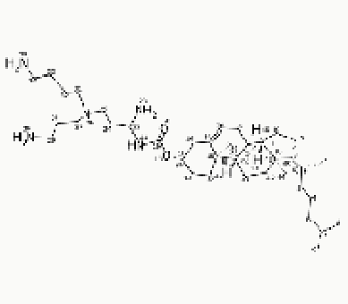 CC(C)CCC[C@@H](C)[C@H]1CC[C@H]2[C@@H]3CC=C4C[C@@H](OC(=O)NC(N)CCN(CCCN)CCCCN)CC[C@]4(C)[C@H]3CC[C@]12C